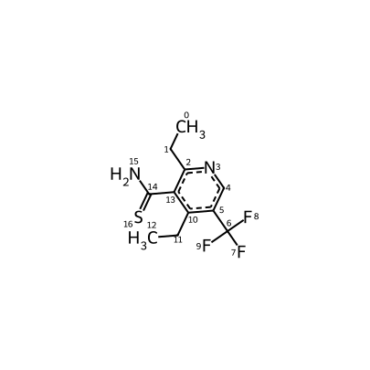 CCc1ncc(C(F)(F)F)c(CC)c1C(N)=S